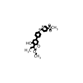 CCON=C(CC)C1=C(O)CC(c2ccc(Sc3ccc(S(C)(=O)=O)cn3)cc2)CC1=O